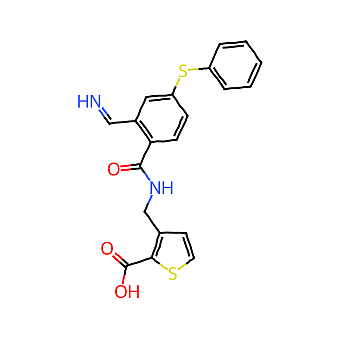 N=Cc1cc(Sc2ccccc2)ccc1C(=O)NCc1ccsc1C(=O)O